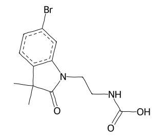 CC1(C)C(=O)N(CCNC(=O)O)c2cc(Br)ccc21